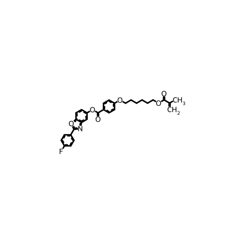 C=C(C)C(=O)OCCCCCCOc1ccc(C(=O)Oc2ccc3oc(-c4ccc(F)cc4)nc3c2)cc1